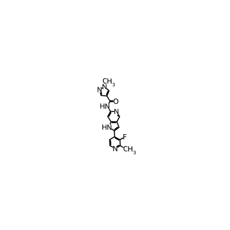 Cc1nccc(-c2cc3cnc(NC(=O)c4cnn(C)c4)cc3[nH]2)c1F